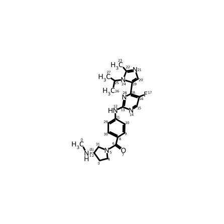 CN[C@H]1CCN(C(=O)c2ccc(Nc3ncc(F)c(-c4cnc(C)n4C(C)C)n3)cc2)C1